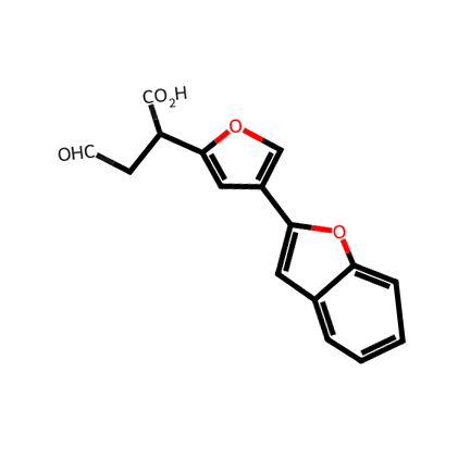 O=CCC(C(=O)O)c1cc(-c2cc3ccccc3o2)co1